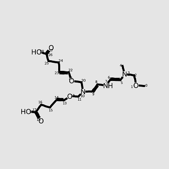 COCN(C)C=CNC=CN(COC=CCCC(=O)O)COC=CCCC(=O)O